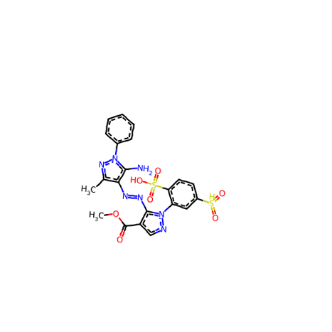 COC(=O)c1cnn(-c2cc([SH](=O)=O)ccc2S(=O)(=O)O)c1/N=N/c1c(C)nn(-c2ccccc2)c1N